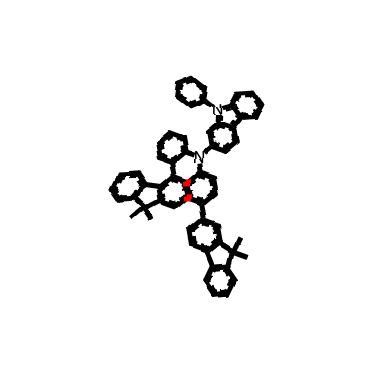 CC1(C)c2ccccc2-c2ccc(-c3ccc(N(c4ccc5c6ccccc6n(-c6ccccc6)c5c4)c4ccccc4-c4cccc5c4-c4ccccc4C5(C)C)cc3)cc21